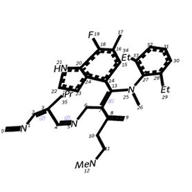 C=N/C=C(\C=N/C/C(C(=C)CCNC)=C(\c1cc(C)c(F)c2[nH]ccc12)N(C)c1c(CC)cccc1CC)C(C)C